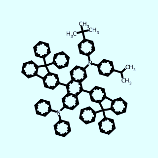 CC(C)c1ccc(N(c2ccc(C(C)(C)C)cc2)c2ccc3c(-c4ccc5c(c4)C(c4ccccc4)(c4ccccc4)c4ccccc4-5)c4cc(N(c5ccccc5)c5ccccc5)ccc4c(-c4ccc5c(c4)C(c4ccccc4)(c4ccccc4)c4ccccc4-5)c3c2)cc1